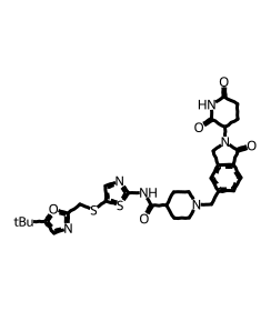 CC(C)(C)c1cnc(CSc2cnc(NC(=O)C3CCN(Cc4ccc5c(c4)CN(C4CCC(=O)NC4=O)C5=O)CC3)s2)o1